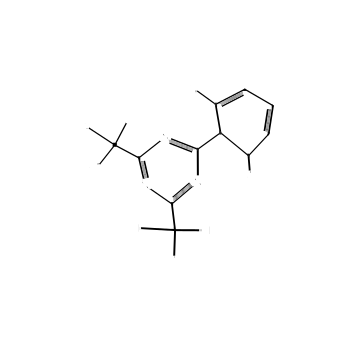 ClC1=CC=CC(Cl)C1c1nc(C(Cl)(Cl)Cl)nc(C(Cl)(Cl)Cl)n1